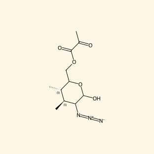 CC(=O)C(=O)OCC1OC(O)C(N=[N+]=[N-])[C@@H](C)[C@@H]1C